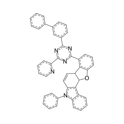 C1=CC2c3c(cccc3-c3nc(-c4cccc(-c5ccccc5)c4)nc(-c4ccccn4)n3)OC2c2c1n(-c1ccccc1)c1ccccc21